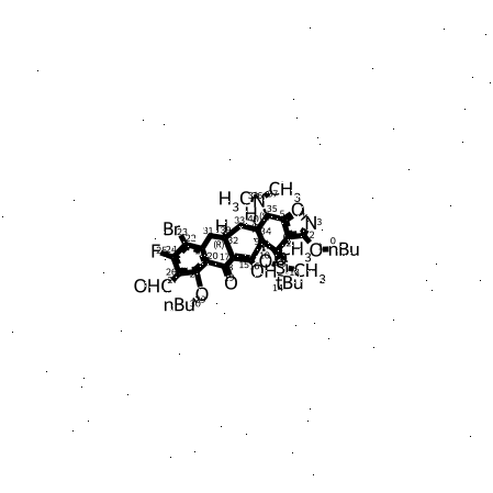 CCCCOc1noc2c1C(=O)[C@@]1(O[Si](C)(C)C(C)(C)C)C(O)=C3C(=O)c4c(c(Br)c(F)c(C=O)c4OCCCC)C[C@H]3C[C@H]1[C@@H]2N(C)C